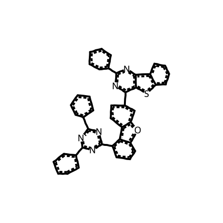 c1ccc(-c2nc(-c3ccccc3)nc(-c3cccc4oc5cc(-c6nc(-c7ccccc7)nc7c6sc6ccccc67)ccc5c34)n2)cc1